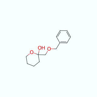 OC1(COCc2ccccc2)CCCCO1